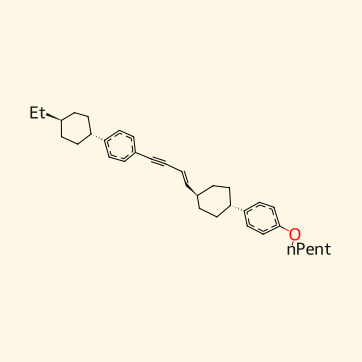 CCCCCOc1ccc([C@H]2CC[C@H](C=CC#Cc3ccc([C@H]4CC[C@H](CC)CC4)cc3)CC2)cc1